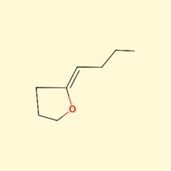 CCCC=C1CCCO1